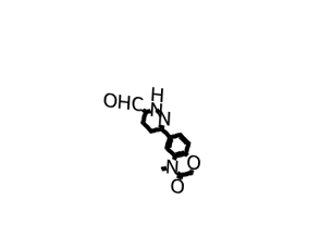 CN1C(=O)COc2ccc(C3=NNC(C=O)CC3)cc21